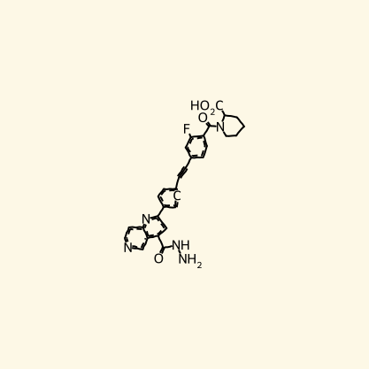 NNC(=O)c1cc(-c2ccc(C#Cc3ccc(C(=O)N4CCCCC4C(=O)O)c(F)c3)cc2)nc2ccncc12